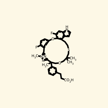 Cn1nc2nc1-c1cc(ccc1F)Oc1c(F)cc3[nH]ccc3c1CCSCC(C)(C)COCC2(C)c1cccc(CCC(=O)O)c1